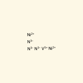 [N-3].[N-3].[N-3].[Ni+2].[Ni+2].[V+5]